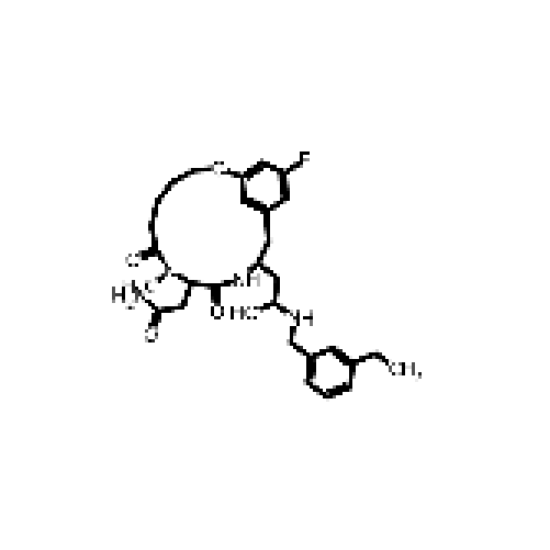 CCc1cccc(CNC(O)CC2Cc3cc(F)cc(c3)OCCCCC(=O)N(C)C(CC(N)=O)C(=O)N2)c1